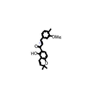 COc1cc(/C=C/C(=O)c2ccc3c(c2O)C=CC(C)(C)O3)ccc1C